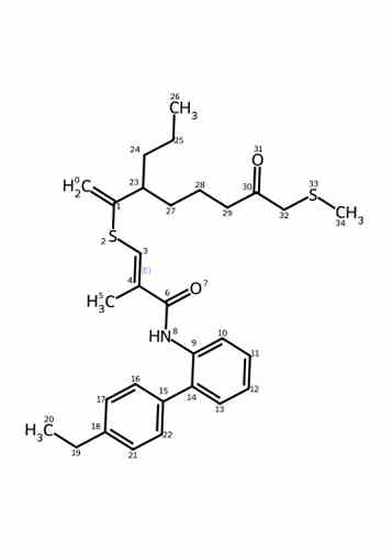 C=C(S/C=C(\C)C(=O)Nc1ccccc1-c1ccc(CC)cc1)C(CCC)CCCC(=O)CSC